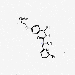 CCC(NC(=O)/C(C#N)=C/c1cccc(Br)n1)c1ccc(OCCOC)cc1